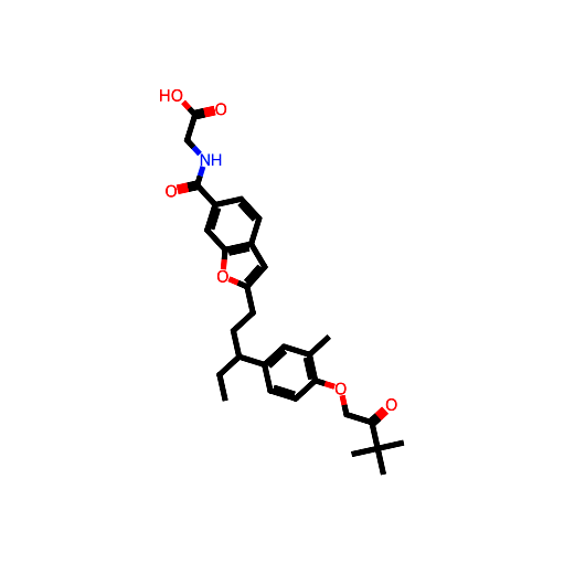 CCC(CCc1cc2ccc(C(=O)NCC(=O)O)cc2o1)c1ccc(OCC(=O)C(C)(C)C)c(C)c1